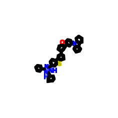 C1=Cc2c(n(-c3ccc4oc5ccc(-c6ccc7sc8cc(C9N=C(c%10ccccc%10)NC(c%10ccccc%10)N9)ccc8c7c6)cc5c4c3)c3ccccc23)CC1